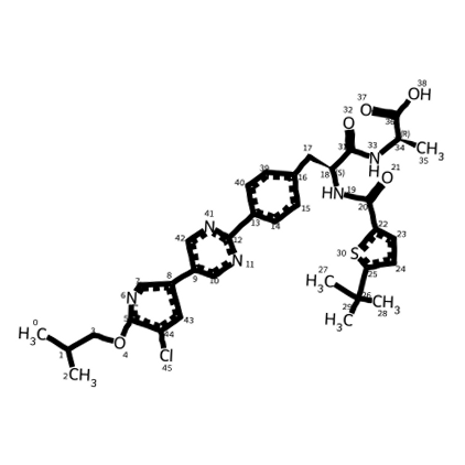 CC(C)COc1ncc(-c2cnc(-c3ccc(C[C@H](NC(=O)c4ccc(C(C)(C)C)s4)C(=O)N[C@H](C)C(=O)O)cc3)nc2)cc1Cl